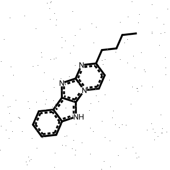 CCCCc1ccn2c(n1)nc1c3ccccc3[nH]c12